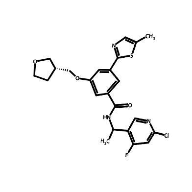 Cc1cnc(-c2cc(OC[C@@H]3CCOC3)cc(C(=O)NC(C)c3cnc(Cl)cc3F)c2)s1